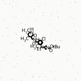 CCN(c1cc(Cl)cc(C(=O)NCC2C(=O)NC(C)CC2C)c1C)C1CN(C(=O)OC(C)(C)C)C1